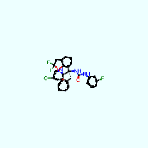 O=C(Nc1cccc(F)c1)N[C@@](Cc1ccccc1)(c1ccc(Cl)cn1)c1cccc2c1OC(F)(F)C2